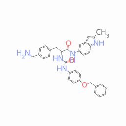 Cc1cc2cc(NC(=O)C(Cc3ccc(CN)cc3)NC(=O)Nc3ccc(OCc4ccccc4)cc3)ccc2[nH]1